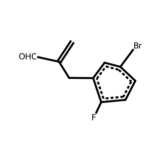 C=C(C=O)Cc1cc(Br)ccc1F